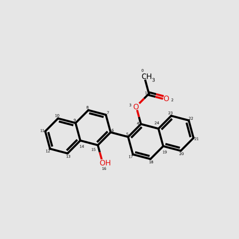 CC(=O)Oc1c(-c2ccc3ccccc3c2O)ccc2ccccc12